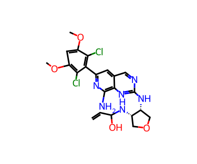 C=CC(O)N[C@H]1COC[C@H]1Nc1ncc2cc(-c3c(Cl)c(OC)cc(OC)c3Cl)nc(N)c2n1